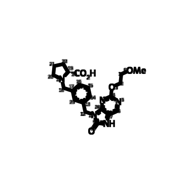 COCCOc1ncc2[nH]c(=O)n(Cc3cccc(CN4CCC[C@@H]4C(=O)O)c3)c2n1